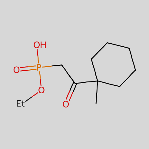 CCOP(=O)(O)CC(=O)C1(C)CCCCC1